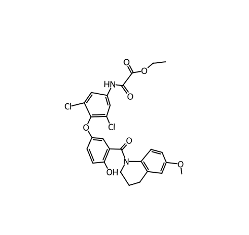 CCOC(=O)C(=O)Nc1cc(Cl)c(Oc2ccc(O)c(C(=O)N3CCCc4cc(OC)ccc43)c2)c(Cl)c1